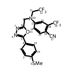 CSc1ccc(-c2nnc(CN(CC(F)(F)F)c3ccc(C#N)c(C(F)(F)F)c3)o2)cc1